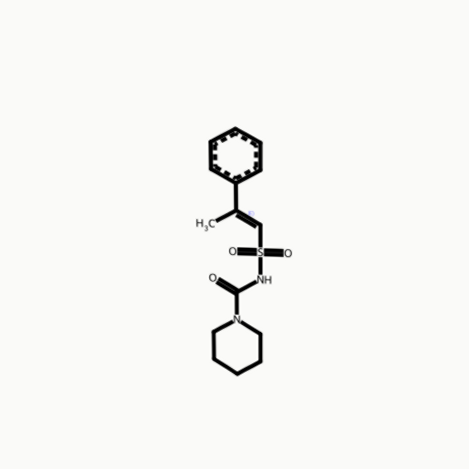 C/C(=C\S(=O)(=O)NC(=O)N1CCCCC1)c1ccccc1